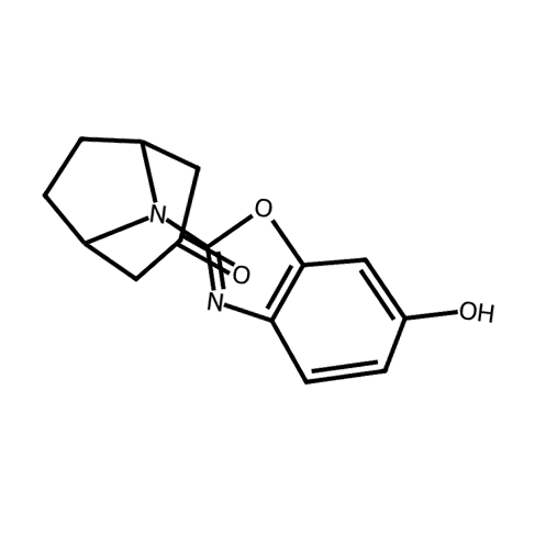 O=C1CC2CCC(C1)N2c1nc2ccc(O)cc2o1